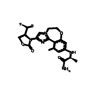 Cc1cc(N[C@@H](C)C(N)=O)cc2c1-c1nc(N3C(=O)OCC3C(F)F)cn1CCO2